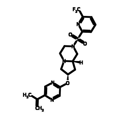 C=C(C)c1cnc(O[C@H]2C[C@H]3CN(S(=O)(=O)c4cccc(C(F)(F)F)n4)CCN3C2)cn1